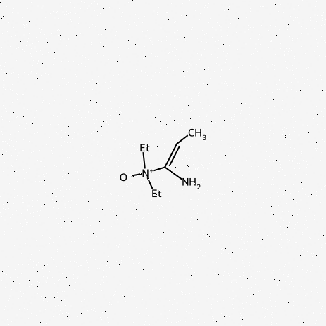 CC=C(N)[N+]([O-])(CC)CC